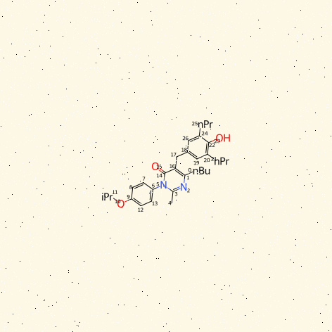 CCCCc1nc(C)n(-c2ccc(OC(C)C)cc2)c(=O)c1Cc1cc(CCC)c(O)c(CCC)c1